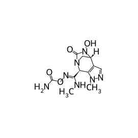 CN/C(=N\OC(N)=O)[C@@H]1c2c(cnn2C)[C@@H]2CN1C(=O)N2O